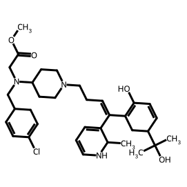 COC(=O)CN(CC1C=CC(Cl)=CC1)C1CCN(CC/C=C(\C2=CC=CNC2C)C2=C(O)C=CC(C(C)(C)O)C2)CC1